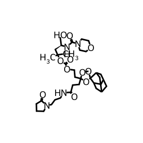 CC(C)(C[C@@H](CO)NC(=O)N1CCOCC1)OC(=O)OCCC1(CCC(=O)NCCCN2CCCC2=O)OOC2(O1)C1CC3CC(C1)CC2C3